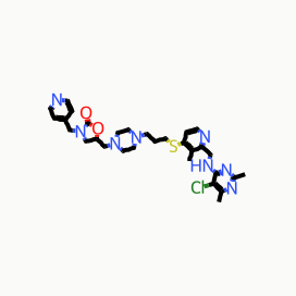 Cc1nc(C)c(Cl)c(NCc2nccc(SCCCN3CCN(CC4CN(Cc5ccncc5)C(=O)O4)CC3)c2C)n1